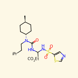 CCOC(=O)C(NC(=O)N(CCC(C)C)[C@H]1CC[C@H](C)CC1)NS(=O)(=O)c1cncs1